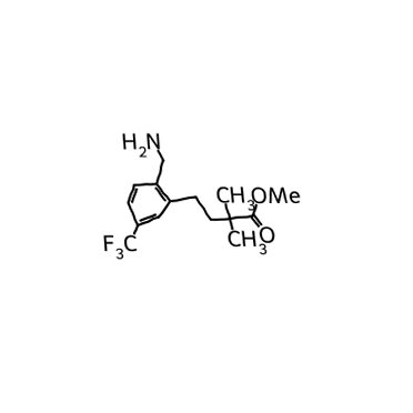 COC(=O)C(C)(C)CCc1cc(C(F)(F)F)ccc1CN